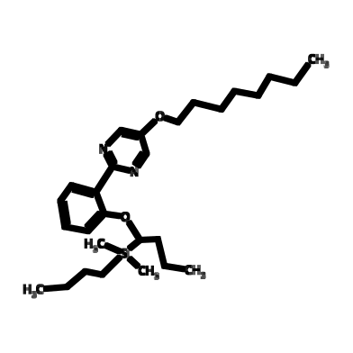 CCCCCCCCOc1cnc(-c2ccccc2OC(CCC)[Si](C)(C)CCCC)nc1